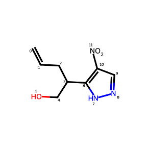 C=CCC(CO)c1[nH]ncc1[N+](=O)[O-]